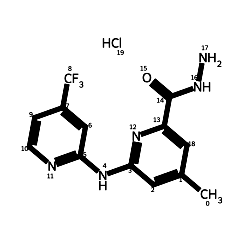 Cc1cc(Nc2cc(C(F)(F)F)ccn2)nc(C(=O)NN)c1.Cl